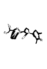 CCC(CC)c1ccn(C2CCN(c3cc(C)c(Br)c(C)c3)C2=O)n1